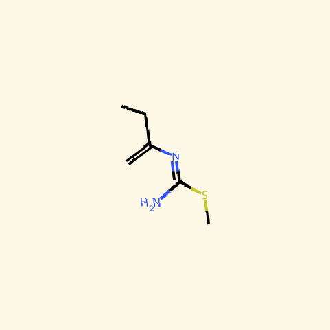 C=C(CC)/N=C(\N)SC